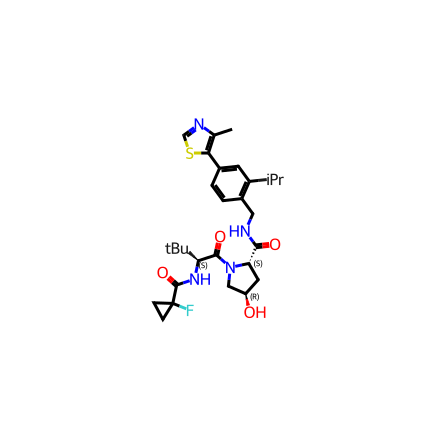 Cc1ncsc1-c1ccc(CNC(=O)[C@@H]2C[C@@H](O)CN2C(=O)[C@@H](NC(=O)C2(F)CC2)C(C)(C)C)c(C(C)C)c1